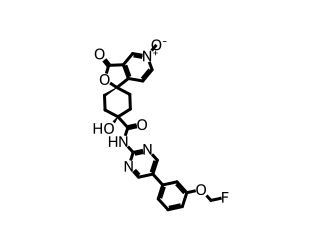 O=C1O[C@]2(CC[C@@](O)(C(=O)Nc3ncc(-c4cccc(OCF)c4)cn3)CC2)c2cc[n+]([O-])cc21